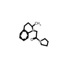 CC1CCc2ccccc2N1CC(=O)N1CCCC1